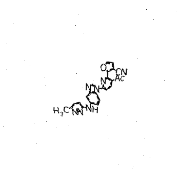 CC(=O)c1ccc(-n2cnc3cc(Nc4ccc(C)nn4)ccc32)nc1-c1occc1C#N